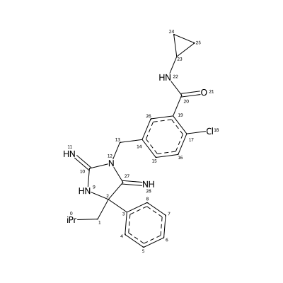 CC(C)CC1(c2ccccc2)NC(=N)N(Cc2ccc(Cl)c(C(=O)NC3CC3)c2)C1=N